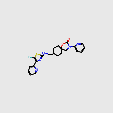 O=C1OC2(CCC(CNc3nc(-c4ccccn4)c(F)s3)CC2)CN1c1ccccn1